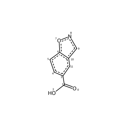 O=C(O)c1ccc2oncc2c1